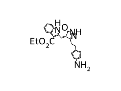 CCOC(=O)c1c(C=C2C(=O)NN=C2CCc2ccc(N)cc2)[nH]c2ccccc12